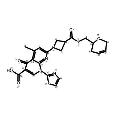 Cc1cc(N2CC(C(=O)NCC3CC=CCO3)C2)nc2c1c(=O)c(C(=O)O)cn2-c1nccs1